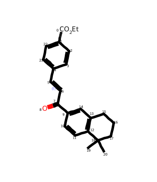 CCOC(=O)c1ccc(/C=C/C(=O)c2ccc3c(c2)CCCC3(C)C)cc1